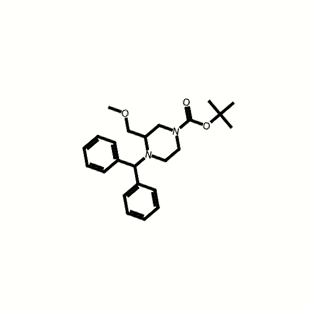 COCC1CN(C(=O)OC(C)(C)C)CCN1C(c1ccccc1)c1ccccc1